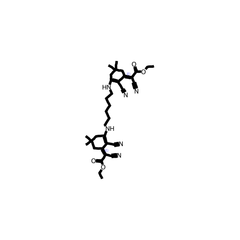 CCOC(=O)/C(C#N)=C1\CC(C)(C)CC(NCCCCCCNC2=C(C#N)/C(=C(\C#N)C(=O)OCC)CC(C)(C)C2)=C1C#N